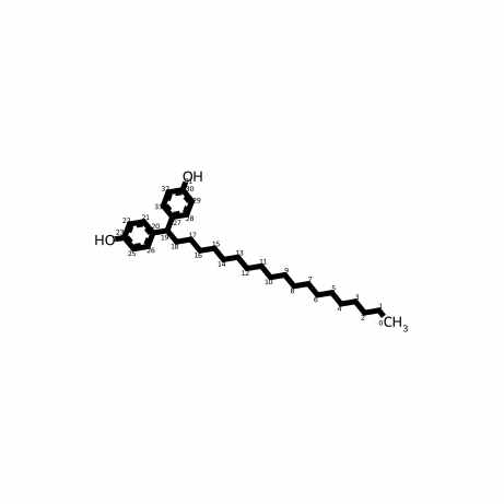 CCCCCCCCCCCCCCCCCCCC(c1ccc(O)cc1)c1ccc(O)cc1